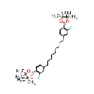 CC1(C)OB(c2ccc(CCCCCCCCCc3ccc(B4OC(C)(C)C(C)(C)O4)c(F)c3)cc2F)OC1(C)C